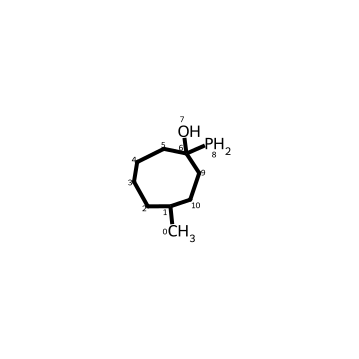 CC1CCCCC(O)(P)CC1